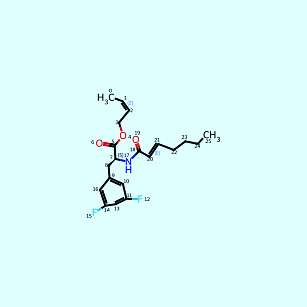 C/C=C\COC(=O)[C@H](Cc1cc(F)cc(F)c1)NC(=O)/C=C/CCCC